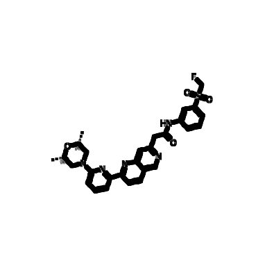 C[C@@H]1CN(c2cccc(-c3ccc4cnc(CC(=O)Nc5cccc(S(=O)(=O)CF)c5)cc4n3)n2)C[C@H](C)O1